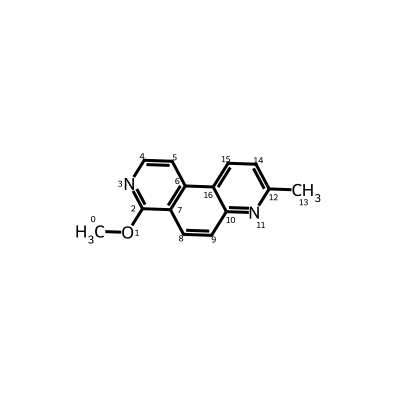 COc1nccc2c1ccc1nc(C)ccc12